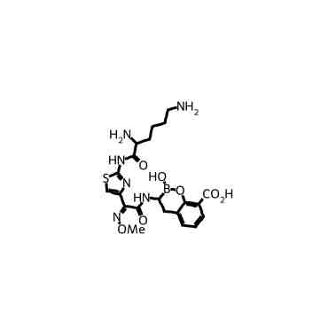 CO/N=C(\C(=O)NC1Cc2cccc(C(=O)O)c2OB1O)c1csc(NC(=O)C(N)CCCCN)n1